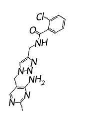 Cc1ncc(Cn2cc(CNC(=O)c3ccccc3Cl)nn2)c(N)n1